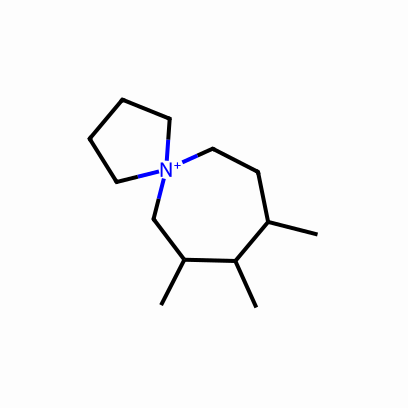 CC1CC[N+]2(CCCC2)CC(C)C1C